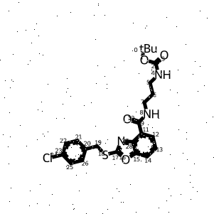 CC(C)(C)OC(=O)NCCCNC(=O)c1cccc2oc(SCc3ccc(Cl)cc3)nc12